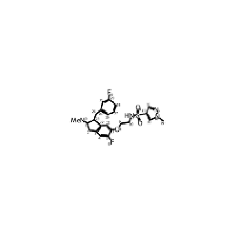 CNC1Cc2cc(F)c(OCCNS(=O)(=O)c3cnn(C)c3)cc2C1Cc1cccc(F)c1